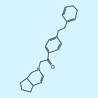 O=C(CN1C=CC2CCCC2C1)c1ccc(CCC2=CCCC=C2)cc1